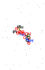 CC(C)OC(=O)[C@@H](C)NP(=O)(OCCSC(=O)C(C)(C)C)OC[C@H]1O[C@@H](n2ccc(=O)[nH]c2=O)C(Cl)(Cl)[C@@H]1O